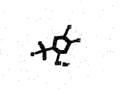 O=S(=O)([O-])c1cc(Cl)c(Cl)cc1O.[Na+]